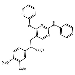 COc1ccc(C(Cc2cnc(Nc3ccccc3)nc2Nc2ccccc2)C(=O)O)cc1OC